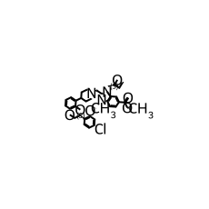 COC(=O)c1ccc2nc(CN3CCC(c4cccc5c4O[C@@H](c4ccc(Cl)cc4OC)CO5)CC3)n(C[C@@H]3CCO3)c2c1